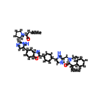 CCCN(Cc1ncc(-c2ccc(-c3nc4cc(-c5cnc([C@@H]6CCCN6C(=O)CNC)[nH]5)ccc4o3)cc2)[nH]1)C(=O)[C@H](NC)c1ccccc1